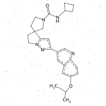 CC(C)Oc1ccc2ncc(-c3cc4n(n3)CCC43CCN(C(=O)NC4CCC4)C3)cc2c1